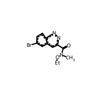 CCON(C)C(=O)c1cc2cc(Br)ccc2nn1